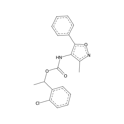 Cc1noc(-c2ccccc2)c1NC(=O)OC(C)c1ccccc1Cl